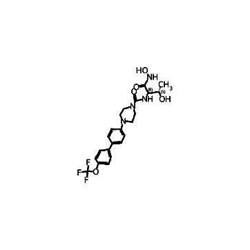 C[C@H](O)[C@@H](NC(=O)N1CCN(c2ccc(-c3ccc(OC(F)(F)F)cc3)cc2)CC1)C(=O)NO